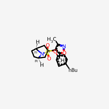 CCCCc1ccc(O[C@H]2C[C@H]3CC[C@@H](C2)N3S(=O)(=O)c2c(C)noc2C)cc1